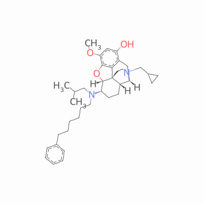 COc1cc(O)c2c3c1O[C@H]1[C@H](N(CCCCCCc4ccccc4)CC(C)C)CC[C@H]4[C@@H](C2)N(CC2CC2)CC[C@@]341